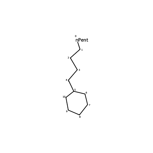 CCCCCCCC[CH]C1CCCCC1